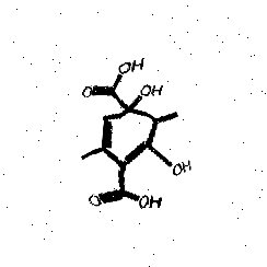 CC1=CC(O)(C(=O)O)C(C)C(O)=C1C(=O)O